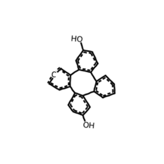 Oc1ccc2c(c1)-c1ccccc1-c1ccc(O)cc1-c1ccccc1-2